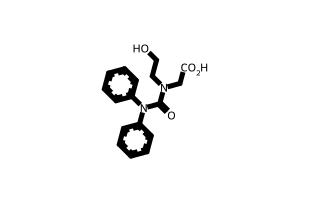 O=C(O)CN(CCO)C(=O)N(c1ccccc1)c1ccccc1